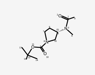 CC(=O)N(C)[C@H]1CCN(C(=O)OC(C)(C)C)C1